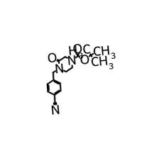 CC(C)(C)OC(=O)N1CCN(Cc2ccc(C#N)cc2)C(=O)C1